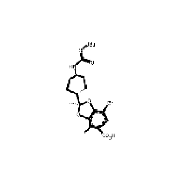 Cc1c(C(=O)O)cc(Br)c2c1O[C@@](C)([C@H]1CC[C@H](NC(=O)OC(C)(C)C)CC1)O2